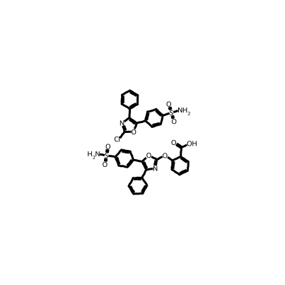 NS(=O)(=O)c1ccc(-c2oc(Cl)nc2-c2ccccc2)cc1.NS(=O)(=O)c1ccc(-c2oc(Oc3ccccc3C(=O)O)nc2-c2ccccc2)cc1